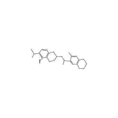 Cc1cc2c(cc1C(C)CC1CCc3c(ccc(C(C)C)c3I)C1)CCCC2